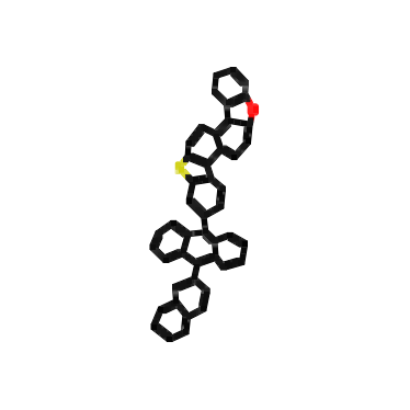 C1=Cc2oc3ccc4c(ccc5sc6cc(-c7c8ccccc8c(-c8ccc9ccccc9c8)c8ccccc78)ccc6c54)c3c2CC1